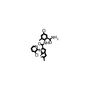 Cc1cc2cc(C(=O)Nc3c(C)cc(Cl)cc3C(N)=O)n(-c3ncccc3Cl)c2s1